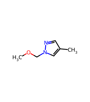 COCn1cc(C)cn1